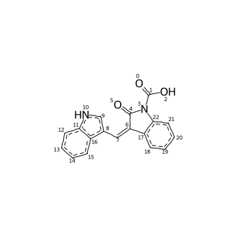 O=C(O)N1C(=O)C(=Cc2c[nH]c3ccccc23)c2ccccc21